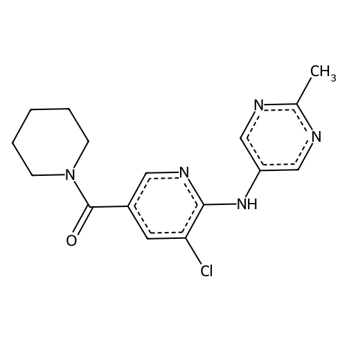 Cc1ncc(Nc2ncc(C(=O)N3CCCCC3)cc2Cl)cn1